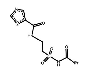 CC(C)C(=O)NS(=O)(=O)CCNC(=O)c1cncs1